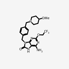 COC1CCN(Cc2ccc(Cn3c(=O)[nH]c4c(N)nc(OCC(F)(F)F)nc43)cc2)CC1